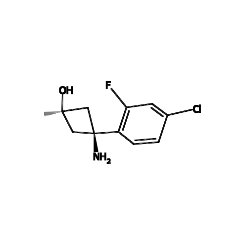 C[C@]1(O)C[C@](N)(c2ccc(Cl)cc2F)C1